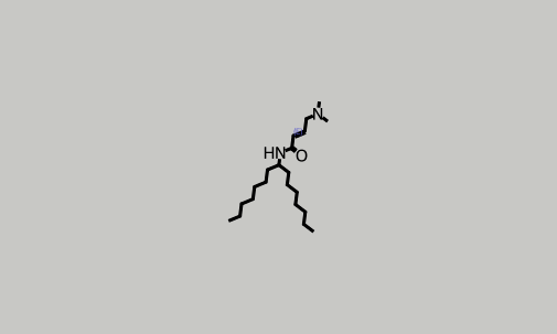 CCCCCCCC(CCCCCCC)NC(=O)/C=C/CN(C)C